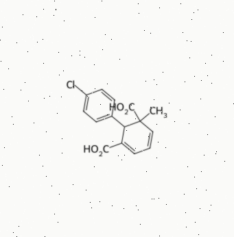 CC1(C(=O)O)C=CC=C(C(=O)O)C1c1ccc(Cl)cc1